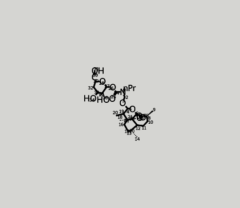 CCCN(COC1OC2O[C@@]3(C)CCC4[C@H](C)CC[C@@](C)(C1C)[C@@]24OO3)C(=O)OC1OC(CO)CC(O)[C@H]1O